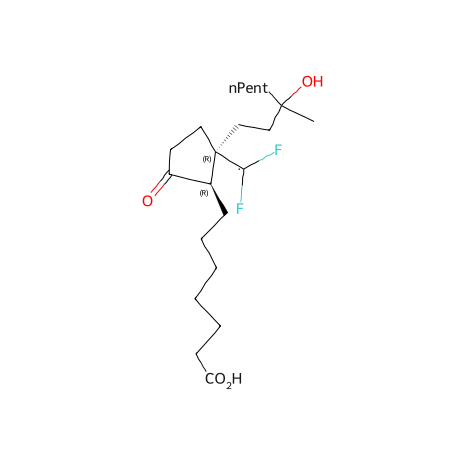 CCCCCC(C)(O)CC[C@@]1([C](F)F)CCC(=O)[C@@H]1CCCCCCC(=O)O